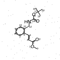 COC(=O)C=Cc1ccccc1CNC(=O)OC(C)(C)C